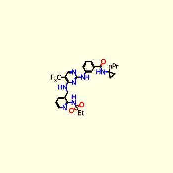 CCCC1(NC(=O)c2cccc(Nc3ncc(C(F)(F)F)c(NCc4cccnc4NS(=O)(=O)CC)n3)c2)CC1